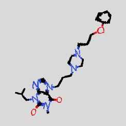 CC(C)Cn1c(=O)n(C)c(=O)c2c1ncn2CCCN1CCN(CCCOc2ccccc2)CC1